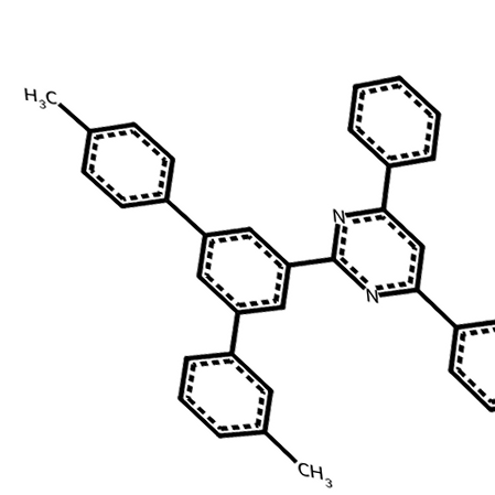 Cc1ccc(-c2cc(-c3cccc(C)c3)cc(-c3nc(-c4ccccc4)cc(-c4ccccc4)n3)c2)cc1